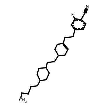 CCCCCC1CCC(CCC2CC=C(CCc3ccc(C#N)c(F)c3)CC2)CC1